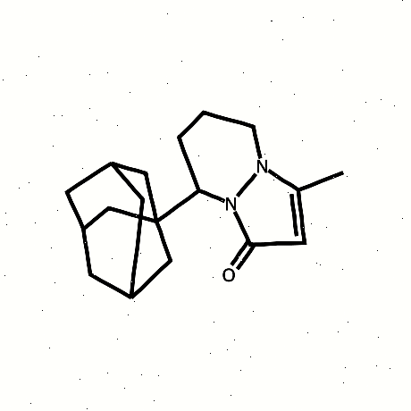 Cc1cc(=O)n2n1CCCC2C12CC3CC(CC(C3)C1)C2